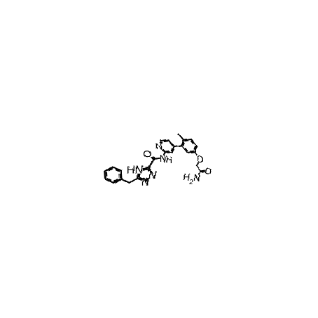 Cc1ccc(OCC(N)=O)cc1-c1ccnc(NC(=O)c2nnc(Cc3ccccc3)[nH]2)c1